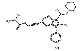 Cc1c(C(O)CN2CCCCC2)c2ncc(C#CCOC(=O)N(C)C)cc2n1-c1ccc(C#N)cc1